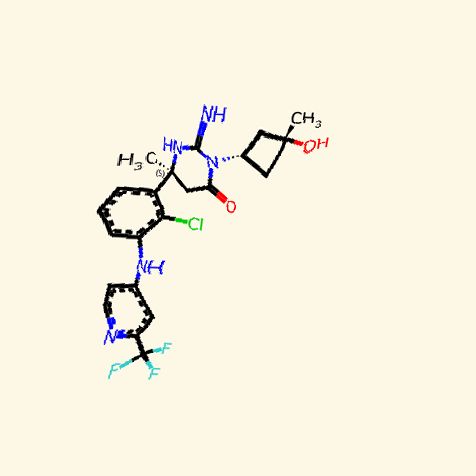 C[C@@]1(c2cccc(Nc3ccnc(C(F)(F)F)c3)c2Cl)CC(=O)N([C@H]2C[C@@](C)(O)C2)C(=N)N1